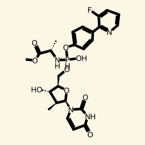 COC(=O)[C@H](C)N[PH](O)(OC[C@H]1O[C@@H](n2ccc(=O)[nH]c2=O)[C@@H](C)[C@@H]1O)Oc1ccc(-c2ncccc2F)cc1